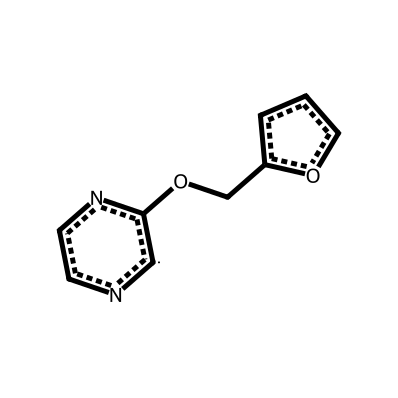 [c]1nccnc1OCc1ccco1